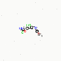 Cc1[nH]c(C)c(-c2ccc(-c3ccc(CN(C)Cc4ccc(OC(F)(F)F)cc4)cc3)cc2)c(=O)c1Cl.Cl